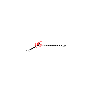 CCCCCCCCCCCCCCCCCCCCCCOC(=O)C(O)(CC(=O)O)CC(=O)OC(=O)CCCCCCC